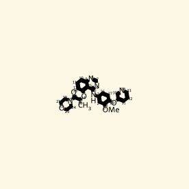 COc1cc(Nc2ncnc3cccc(O[C@H](C)C(=O)N4CCOCC4)c23)ccc1Oc1cccnc1